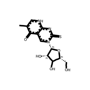 Cc1c[nH]c2nc(=S)n([C@@H]3O[C@H](CO)C(O)[C@@H]3O)cc2c1=O